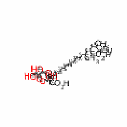 CCC(C)CC(C)/C=C(/C=C(C)/C=C/C=C/C=C/C=C/C=C/C=C/C1=C(C(=O)O)C2OOC(CO)C(O)C(O1)C2O)C(=O)O